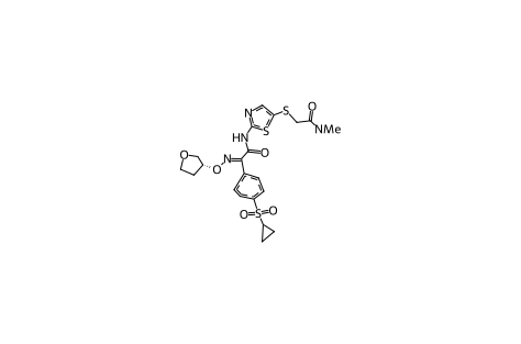 CNC(=O)CSc1cnc(NC(=O)/C(=N/O[C@@H]2CCOC2)c2ccc(S(=O)(=O)C3CC3)cc2)s1